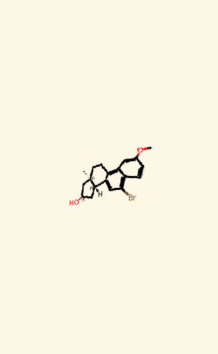 COc1ccc2c(Br)cc3c(c2c1)CC[C@]1(C)C[C@H](O)C[C@@H]31